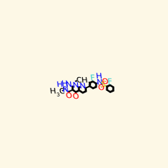 CCn1c(N)c(C(=O)NC)c(=O)c2ccc(-c3ccc(NS(=O)(=O)c4ccccc4F)c(F)c3)nc21